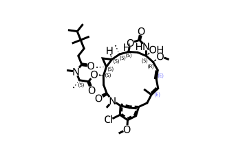 COc1cc2cc(c1Cl)N(C)C(=O)C[C@H](OC(=O)[C@H](C)N(C)C(=O)CCC(C)(C)C(C)C)[C@@]1(C)C[C@H]1[C@H](C)[C@@H]1C[C@@](O)(NC(=O)O1)[C@H](OC)/C=C/C=C(\C)C2